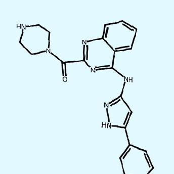 O=C(c1nc(Nc2cc(-c3ccccc3)[nH]n2)c2ccccc2n1)N1CCNCC1